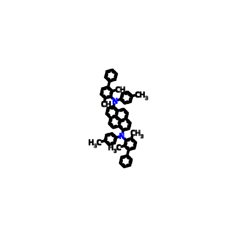 Cc1ccc(N(c2c(C)ccc(-c3ccccc3)c2C)c2ccc3ccc4c(N(c5ccc(C)cc5)c5c(C)ccc(-c6ccccc6)c5C)ccc5ccc2c3c54)cc1